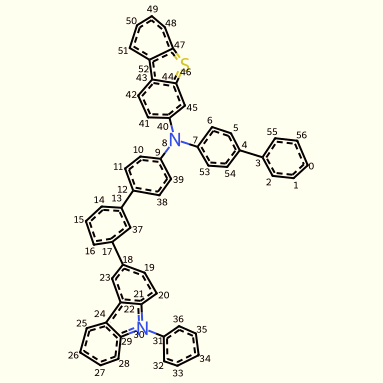 c1ccc(-c2ccc(N(c3ccc(-c4cccc(-c5ccc6c(c5)c5ccccc5n6-c5ccccc5)c4)cc3)c3ccc4c(c3)sc3ccccc34)cc2)cc1